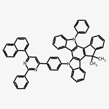 CC1(C)c2ccccc2-c2c1c1c3ccccc3n(-c3ccc(-c4cc(-c5cccc6ccccc56)nc(-c5ccccc5)n4)cc3)c1c1c3ccccc3n(-c3ccccc3)c21